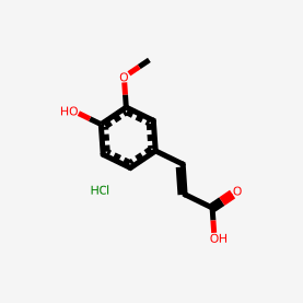 COc1cc(C=CC(=O)O)ccc1O.Cl